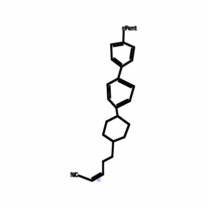 CCCCCc1ccc(-c2ccc(C3CCC(CC/C=C\C#N)CC3)cc2)cc1